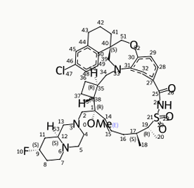 CO[C@@]1(CN2CCN3CC[C@H](F)C[C@H]3C2)/C=C/C[C@H](C)[C@@H](C)S(=O)(=O)NC(=O)c2ccc3c(c2)N(C[C@@H]2CC[C@H]21)C[C@@]1(CCCc2cc(Cl)ccc21)CO3